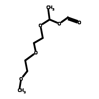 COCCOCCOC(C)O[C]=O